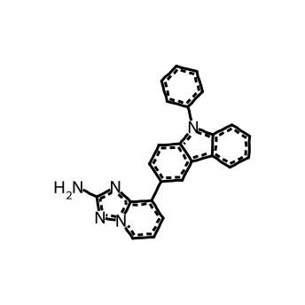 Nc1nc2c(-c3ccc4c(c3)c3ccccc3n4-c3ccccc3)cccn2n1